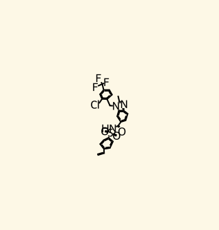 C=Cc1ccc(S(=O)(=O)NC(=O)c2ccc3nc(C)n(Cc4ccc(C(F)(F)F)cc4Cl)c3c2)cc1